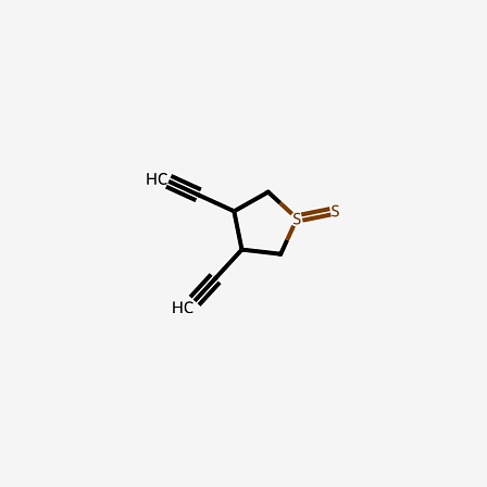 C#CC1CS(=S)CC1C#C